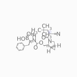 CC(C)(C)/C=C(/C#N)C(=O)N1C[C@H]2C[C@H]2[C@H]1COC(=O)N[C@@H](Cc1ccccc1)B(O)O